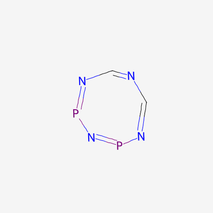 C1=NC=NP=NP=N1